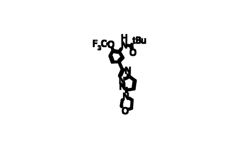 CC(C)(C)C(=O)Nc1cc(-c2cn3nc(N4CCOCC4)ccc3n2)ccc1OC(F)(F)F